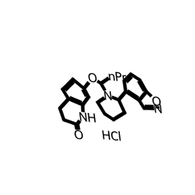 CCCC(Oc1ccc2c(c1)NC(=O)CC2)N1CCCCC1c1cccc2oncc12.Cl